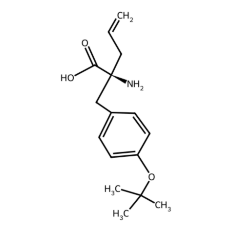 C=CC[C@](N)(Cc1ccc(OC(C)(C)C)cc1)C(=O)O